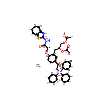 CC(=O)OCC(Cc1cc(C(=O)C[P+](c2ccccc2)(c2ccccc2)c2ccccc2)ccc1OCC(=O)Nc1nc2ccccc2s1)OC(C)=O.[Cl-]